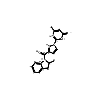 Cc1cc(=O)[nH]c(-n2ccc(C(=O)N3c4ccccc4CC3C)n2)n1